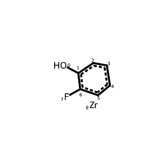 Oc1ccccc1F.[Zr]